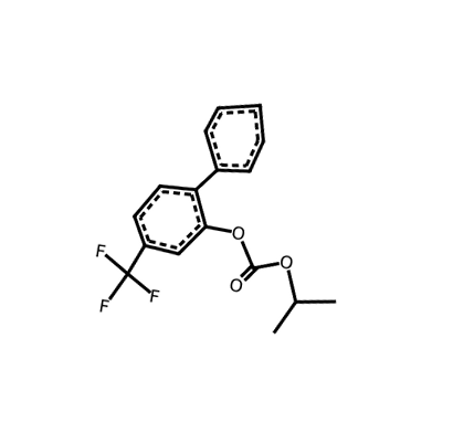 CC(C)OC(=O)Oc1cc(C(F)(F)F)ccc1-c1ccccc1